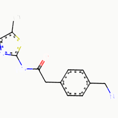 CC(C)c1cnc(NC(=O)Cc2ccc(CN)cc2)s1